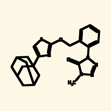 Cn1nnn(-c2ccccc2COc2nc(C34CC5CC(CC(C5)C3)C4)cs2)c1=O